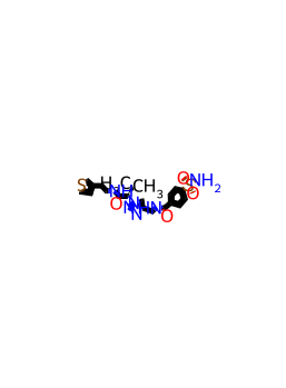 CC(C)[C@@H](C(=O)NCCc1ccsc1)n1cc(CNC(=O)c2ccc(S(N)(=O)=O)cc2)nn1